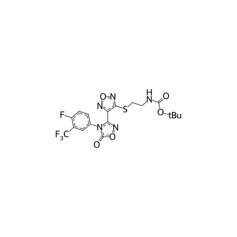 CC(C)(C)OC(=O)NCCSc1nonc1-c1noc(=O)n1-c1ccc(F)c(C(F)(F)F)c1